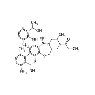 C=CC(=O)N1CC2CSc3c(F)c(-c4c(C)ccc(N)c4C=N)c(F)c(Nc4c(C)ccnc4C(C)O)c3C(=N)N2CC1C